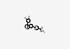 NC(=O)c1cnc(-c2ccc3c(c2)CN2CCC3(c3ccc(F)c(F)c3)CC2)nc1